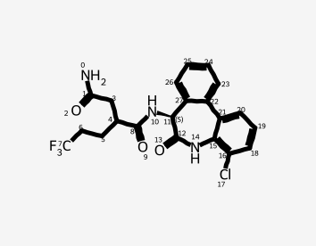 NC(=O)CC(CCC(F)(F)F)C(=O)N[C@@H]1C(=O)Nc2c(Cl)cccc2-c2ccccc21